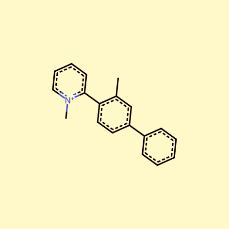 Cc1cc(-c2ccccc2)ccc1-c1cccc[n+]1C